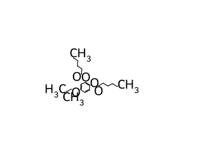 CCCCCC(=O)Oc1ccc(OCC(C)C)cc1OC(=O)CCCCC